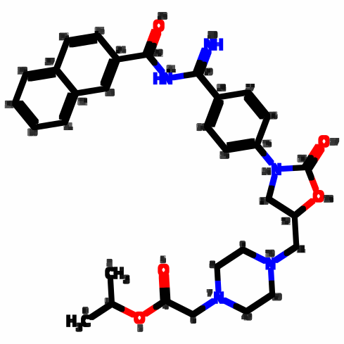 CC(C)OC(=O)CN1CCN(CC2CN(c3ccc(C(=N)NC(=O)c4ccc5ccccc5c4)cc3)C(=O)O2)CC1